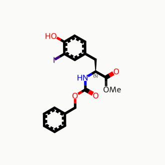 COC(=O)[C@H](Cc1ccc(O)c(I)c1)NC(=O)OCc1ccccc1